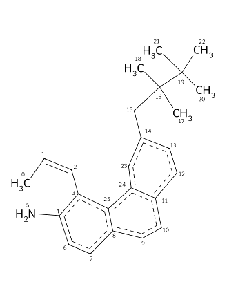 C/C=C\c1c(N)ccc2ccc3ccc(CC(C)(C)C(C)(C)C)cc3c12